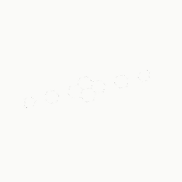 c1ncc(-c2ccc(-c3cc4ccc5cc(-c6ccc(-c7cncs7)cc6)cc6ccc(c3)c4c56)cc2)s1